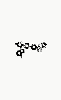 CC(C)C[C@@H](C(=O)N1CCN(c2ccc(S(=O)(=O)Nc3nccs3)cn2)CC1)n1ccc2c(F)cccc21